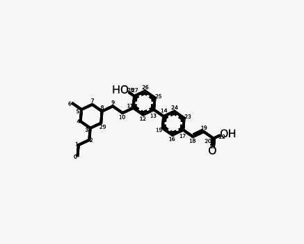 CCCC1CC(C)CC(CCc2cc(-c3ccc(/C=C/C(=O)O)cc3)ccc2O)C1